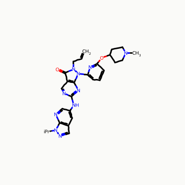 C=CCn1c(=O)c2cnc(Nc3cnc4c(cnn4C(C)C)c3)nc2n1-c1cccc(OC2CCN(C)CC2)n1